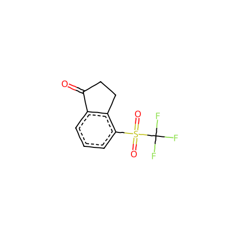 O=C1CCc2c1cccc2S(=O)(=O)C(F)(F)F